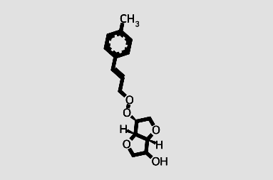 Cc1ccc(/C=C/COO[C@H]2CO[C@@H]3C(O)CO[C@H]23)cc1